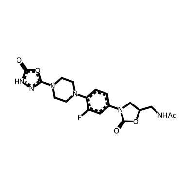 CC(=O)NCC1CN(c2ccc(N3CCN(c4n[nH]c(=O)o4)CC3)c(F)c2)C(=O)O1